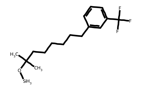 CC(C)(CCCCCCc1cccc(C(F)(F)F)c1)O[SiH3]